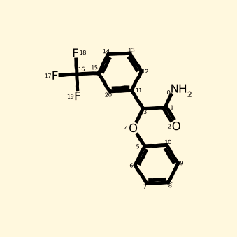 NC(=O)C(Oc1cc[c]cc1)c1cccc(C(F)(F)F)c1